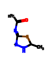 CCCC(=O)N=C1[N]NC(C)S1